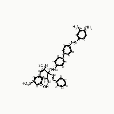 Nc1ccc(N=Nc2ccc(-c3ccc(N=NC4(N=Nc5ccccc5)C(S(=O)(=O)O)=Cc5cc(S(=O)(=O)O)cc(O)c5C4N)cc3)cc2)cc1N